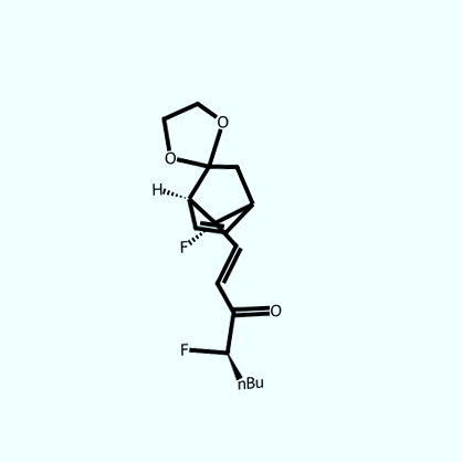 CCCC[C@@H](F)C(=O)C=C[C@]1(F)C2C=C[C@H]1C1(C2)OCCO1